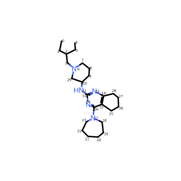 CCC(CC)CN1CCCC(Nc2nc3c(c(N4CCCCCC4)n2)CCCC3)C1